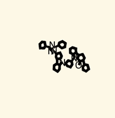 c1ccc(-c2nc(-c3ccccc3)n(-c3ccc4c(c3)c3ccccc3n4-c3cccc(-n4c5ccccc5c5ccc6c7ccccc7oc6c54)c3)n2)cc1